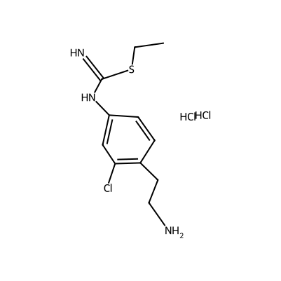 CCSC(=N)Nc1ccc(CCN)c(Cl)c1.Cl.Cl